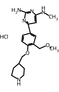 CNc1cc(-c2ccc(OCC3CCNCC3)c(COC)c2)nc(N)n1.Cl